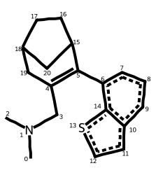 CN(C)CC1=C(c2cccc3ccsc23)C2CCC(C1)C2